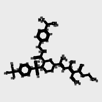 C=C/C(C(=O)OCC)=C(O)\N=C(/N)N1CCN(S(=O)(=O)c2ccc(C(F)(F)F)cc2)[C@@H](C(=O)NCc2ccc(C(C)C)cc2)C1